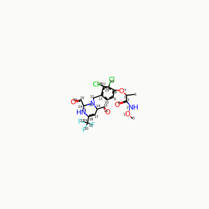 CONC(=O)C(C)Oc1ccc(CN2C(C=O)C=C(C(F)(F)F)NC2C=O)c(Cl)c1Cl